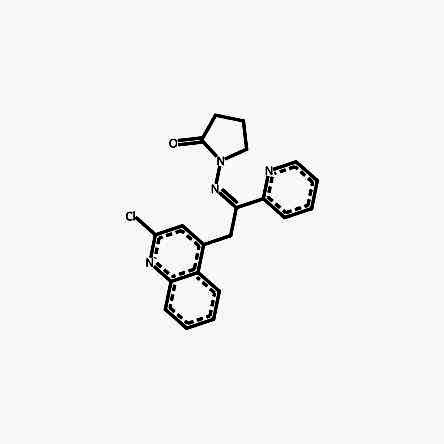 O=C1CCCN1N=C(Cc1cc(Cl)nc2ccccc12)c1ccccn1